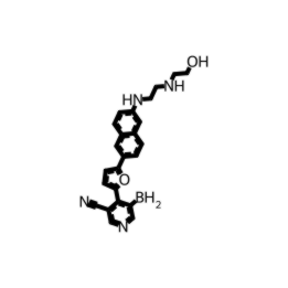 Bc1cncc(C#N)c1-c1ccc(-c2ccc3cc(NCCNCCO)ccc3c2)o1